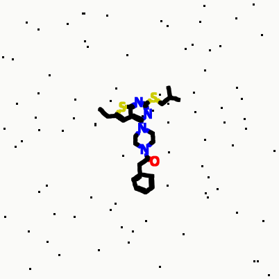 CCc1cc2c(N3CCN(C(=O)Cc4ccccc4)CC3)nc(SCC(C)C)nc2s1